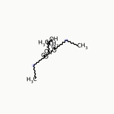 CCCCCCCC/C=C\CCCCCCCC(=O)OCCN(CCOC(=O)CCCCCCC/C=C\CCCCCCCC)C(=O)CSCC[N+](C)(C)CCO